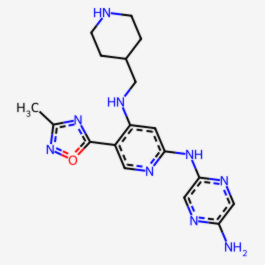 Cc1noc(-c2cnc(Nc3cnc(N)cn3)cc2NCC2CCNCC2)n1